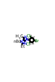 CCCCn1c(CC)nc2c1c(C)nn2-c1c(Cl)cc(Br)cc1Cl